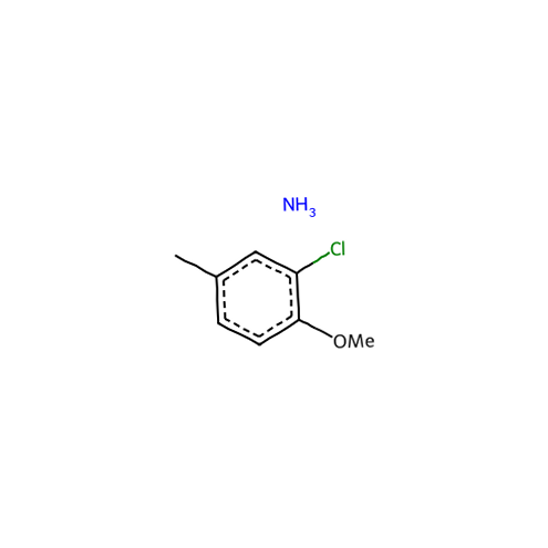 COc1ccc(C)cc1Cl.N